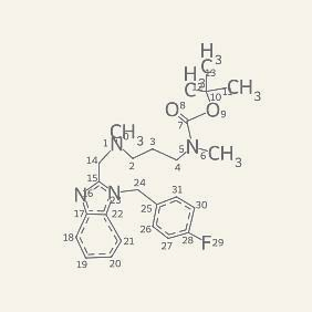 CN(CCCN(C)C(=O)OC(C)(C)C)Cc1nc2ccccc2n1Cc1ccc(F)cc1